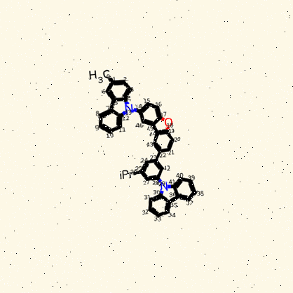 Cc1ccc2c(c1)c1ccccc1n2-c1ccc2oc3ccc(-c4cc(C(C)C)cc(-n5c6ccccc6c6ccccc65)c4)cc3c2c1